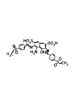 C=CS(=O)(=O)C1=CCC(/N=N/c2c(S(=O)(=O)O)cc3cc(S(=O)(=O)O)c(/N=N/c4ccc(S(=O)(=O)C=C)cc4)c(N)c3c2O)C=C1